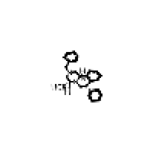 Cl.Cl.c1ccc(CN2CCN3C[C@@H](c4ccccc4)c4ccccc4[C@@H]3C2)cc1